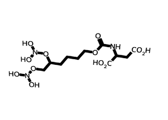 O=C(O)CC(NC(=O)OCCCCC(CON(O)O)ON(O)O)C(=O)O